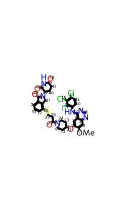 COc1cc2ncnc(Nc3ccc(Cl)c(Cl)c3F)c2cc1OC1CCN(C(=O)CCSc2cccc3c2CN(C2CCC(=O)NC2=O)C3=O)CC1